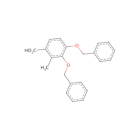 Cc1c(C(=O)O)ccc(OCc2ccccc2)c1OCc1ccccc1